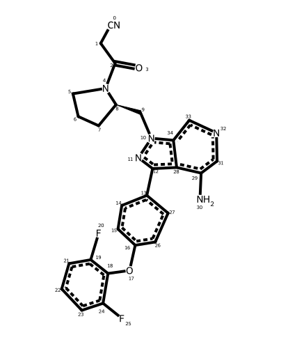 N#CCC(=O)N1CCC[C@@H]1Cn1nc(-c2ccc(Oc3c(F)cccc3F)cc2)c2c(N)cncc21